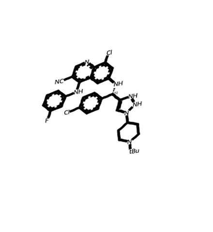 CC(C)(C)N1CCC(N2C=C([C@@H](Nc3cc(Cl)c4ncc(C#N)c(Nc5cccc(F)c5)c4c3)c3ccc(Cl)cc3)NN2)CC1